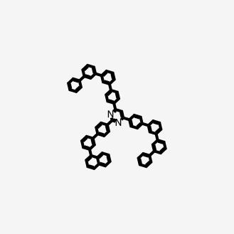 c1ccc(-c2cccc(-c3cccc(-c4ccc(-c5cc(-c6ccc(-c7cccc(-c8cccc(-c9ccccc9)c8)c7)cc6)nc(-c6ccc(-c7cccc(-c8cccc9ccccc89)c7)cc6)n5)cc4)c3)c2)cc1